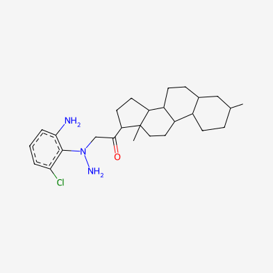 CC1CCC2C(CCC3C2CCC2(C)C(C(=O)CN(N)c4c(N)cccc4Cl)CCC32)C1